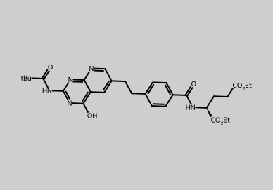 CCOC(=O)CC[C@H](NC(=O)c1ccc(CCc2cnc3nc(NC(=O)C(C)(C)C)nc(O)c3c2)cc1)C(=O)OCC